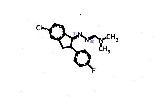 CN(C)/C=N/N=C1/c2ccc(Cl)cc2CC1c1ccc(F)cc1